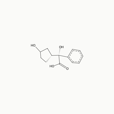 O=C(O)[C@](O)(c1ccccc1)[C@@H]1CCC(O)C1